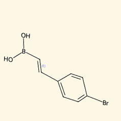 OB(O)/C=C/c1ccc(Br)cc1